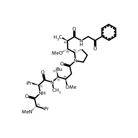 CC[C@H](C)[C@@H]([C@@H](CC(=O)N1CCC[C@H]1[C@H](OC)[C@@H](C)C(=O)NCC(=O)c1ccccc1)OC)N(C)C(=O)[C@@H](NC(=O)[C@@H](NC)C(C)C)C(C)C